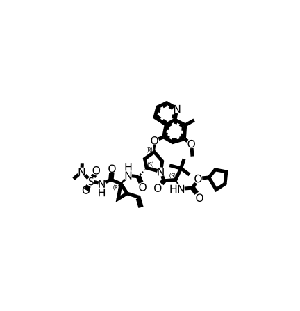 C=CC1C[C@]1(NC(=O)[C@@H]1C[C@@H](Oc2cc(OC)c(C)c3ncccc23)CN1C(=O)[C@@H](NC(=O)OC1CCCC1)C(C)(C)C)C(=O)NS(=O)(=O)N(C)C